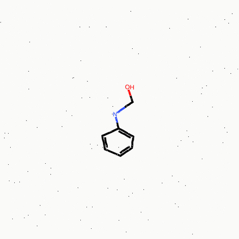 OC[N]c1ccccc1